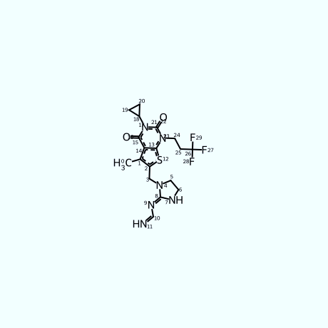 Cc1c(CN2CCN/C2=N\C=N)sc2c1c(=O)n(C1CC1)c(=O)n2CCC(F)(F)F